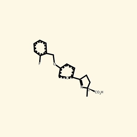 C[C@@]1(C(=O)O)CCC(c2ccc(OCc3ccccc3F)cc2)=N1